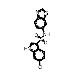 O=S(=O)(Nc1ccc2ncsc2c1)c1c[nH]c2cc(Cl)ccc12